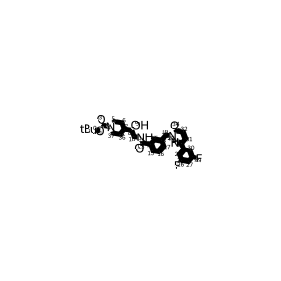 CC(C)(C)OC(=O)N1CCC(C(O)CNC(=O)c2cccc(Cn3nc(-c4cc(F)cc(F)c4)ccc3=O)c2)CC1